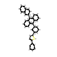 C1=C(c2ccccc2)SC(c2cccc(-c3c4ccccc4c(-c4ccc5ccccc5c4)c4ccccc34)c2)C1